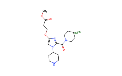 COC(=O)CCOc1cn(C2CCNCC2)c(C(=O)N2CCCCC2)n1.Cl.Cl